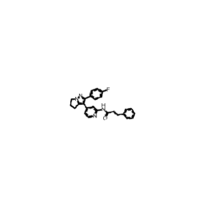 O=C(CCc1ccccc1)Nc1cc(-c2c(-c3ccc(F)cc3)nn3c2CCC3)ccn1